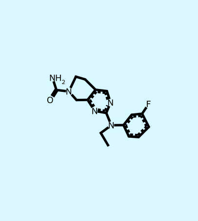 CCN(c1cccc(F)c1)c1ncc2c(n1)CN(C(N)=O)CC2